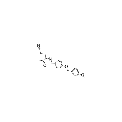 COc1ccc(COc2ccc(/C=N/N(CCC#N)C(C)=O)cc2)cc1